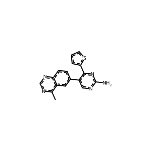 Cc1ncnc2ccc(-c3cnc(N)nc3-c3cccs3)cc12